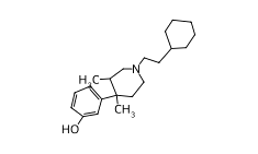 CC1CN(CCC2CCCCC2)CCC1(C)c1cccc(O)c1